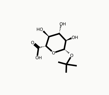 CC(C)(C)O[C@@H]1O[C@H](C(=O)O)[C@@H](O)[C@H](O)[C@H]1O